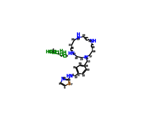 Cl.Cl.Cl.Cl.Cl.c1csc(NCc2ccc(CN3CCCNCCNCCCNCC3)cc2)n1